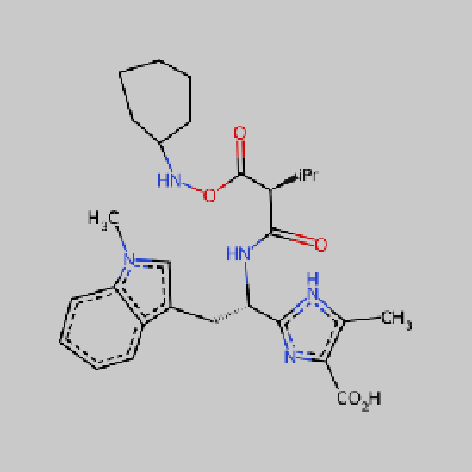 Cc1[nH]c([C@H](Cc2cn(C)c3ccccc23)NC(=O)[C@@H](C(=O)ONC2CCCCC2)C(C)C)nc1C(=O)O